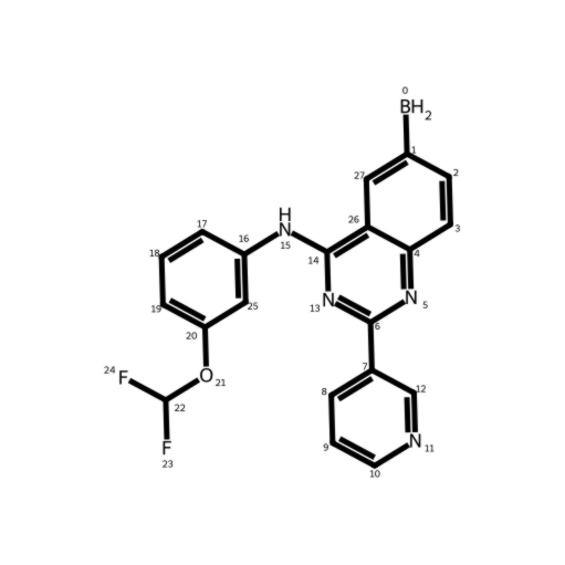 Bc1ccc2nc(-c3cccnc3)nc(Nc3cccc(OC(F)F)c3)c2c1